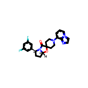 O=C1N2[C@@H](CC[C@H]2c2cc(F)cc(F)c2)OC12CCN(c1cccn3ccnc13)CC2